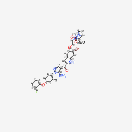 Cc1cc(Oc2ccccc2F)ccc1-n1ncc(C(=O)c2cc3cc(OCCN4CC5CC(C4)N5C(=O)OC(C)(C)C)c(Br)cc3[nH]2)c1N